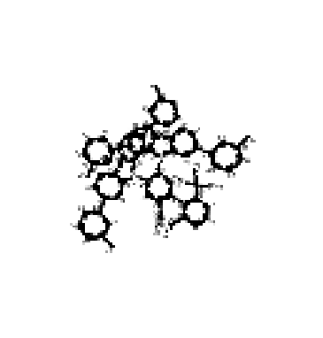 Cc1cccc(-c2ccc3c4ccc(-c5cccc(C)c5)cc4n(-c4cc(C#N)c(-c5c(C#N)cccc5C(F)(F)F)cc4-n4c5cc(-c6cccc(C)c6)ccc5c5ccc(-c6cccc(C)c6)cc54)c3c2)c1